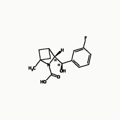 CC12CC(C1)[C@H]([C@H](O)c1cccc(F)c1)N2C(=O)O